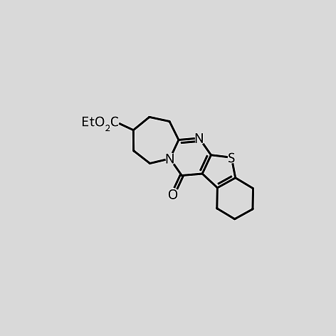 CCOC(=O)C1CCc2nc3sc4c(c3c(=O)n2CC1)CCCC4